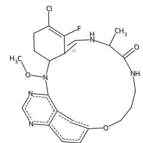 CON1c2ncnc3ccc(cc23)OCCCNC(=O)C(C)N/C=C2\C(F)=C(Cl)CCC21